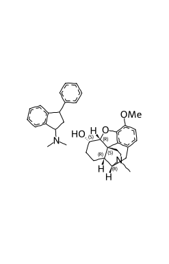 CN(C)C1CC(c2ccccc2)c2ccccc21.COc1ccc2c3c1O[C@H]1[C@@H](O)CC[C@H]4[C@@H](C2)N(C)CC[C@@]341